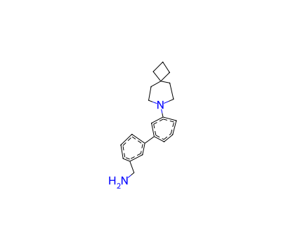 NCc1cccc(-c2cccc(N3CCC4(CCC4)CC3)c2)c1